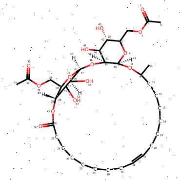 CC(=O)OCC1O[C@H]2OC(C)CCCCCC/C=C\CCCCCCCC(=O)O[C@@H]3C(COC(C)=O)O[C@@H](O[C@H]2C(O)[C@@H]1O)[C@@H](O)C3O